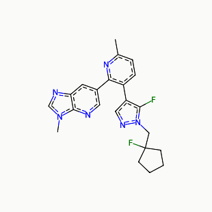 Cc1ccc(-c2cnn(CC3(F)CCCC3)c2F)c(-c2cnc3c(c2)ncn3C)n1